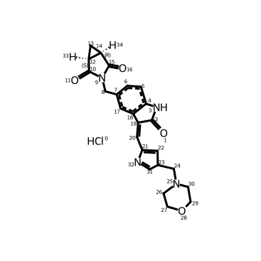 Cl.O=C1Nc2ccc(CN3C(=O)[C@H]4C[C@H]4C3=O)cc2C1=CC1=CC(CN2CCOCC2)C=N1